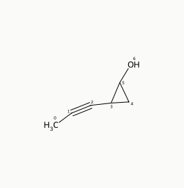 CC#CC1CC1O